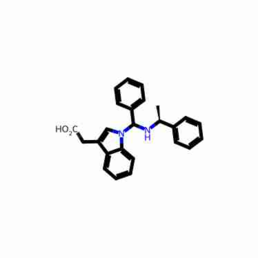 C[C@H](NC(c1ccccc1)n1cc(CC(=O)O)c2ccccc21)c1ccccc1